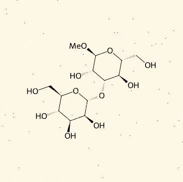 CO[C@H]1O[C@H](CO)[C@@H](O)[C@H](O[C@H]2O[C@H](CO)[C@@H](O)[C@H](O)[C@@H]2O)[C@@H]1O